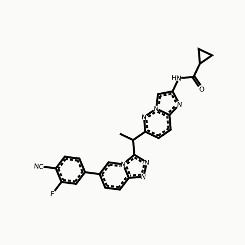 CC(c1ccc2nc(NC(=O)C3CC3)cn2n1)c1nnc2ccc(-c3ccc(C#N)c(F)c3)cn12